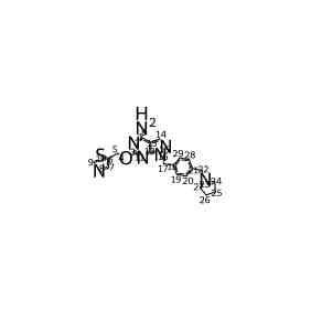 Nc1nc(OCc2cncs2)nc2c1cnn2Cc1ccc(CN2CCCC2)cc1